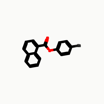 CCc1ccc(OC(=O)c2cccc3ccccc23)cc1